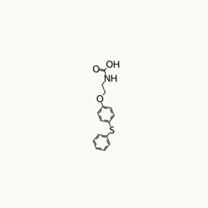 O=C(O)NCCOc1ccc(Sc2ccccc2)cc1